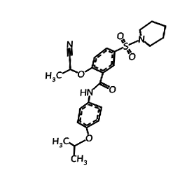 CC(C)Oc1ccc(NC(=O)c2cc(S(=O)(=O)N3CCCCC3)ccc2OC(C)C#N)cc1